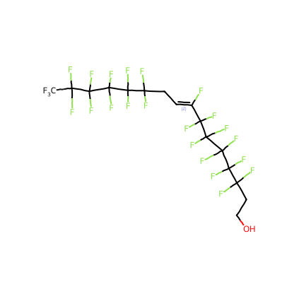 OCCC(F)(F)C(F)(F)C(F)(F)C(F)(F)C(F)(F)/C(F)=C/CC(F)(F)C(F)(F)C(F)(F)C(F)(F)C(F)(F)C(F)(F)F